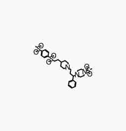 CS(=O)(=O)c1ccc(S(=O)(=O)CCC2CCN(CCC(c3ccccc3)N3CCN(S(C)(=O)=O)CC3)CC2)cc1